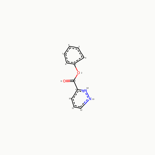 O=C(Oc1ccccc1)c1cccnn1